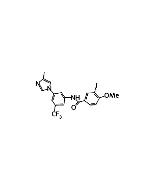 COc1ccc(C(=O)Nc2cc(-n3cnc(C)c3)cc(C(F)(F)F)c2)cc1I